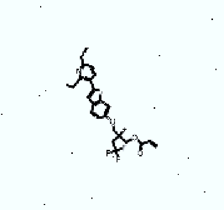 C=CC(=O)OCC(C)(COc1ccc2cc(-c3ccc(CC)nc3CC)sc2c1)CC(F)(F)F